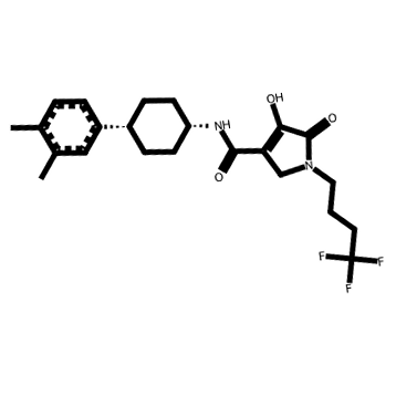 Cc1ccc([C@H]2CC[C@@H](NC(=O)C3=C(O)C(=O)N(CCCC(F)(F)F)C3)CC2)cc1C